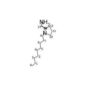 CCCCCCCCCN1CCC[C@@H]1CN